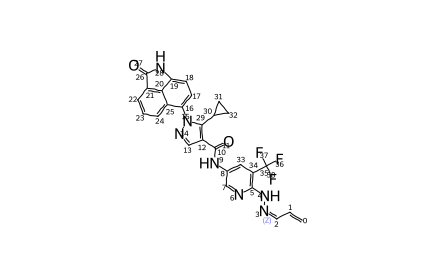 C=C/C=N\Nc1ncc(NC(=O)c2cnn(-c3ccc4c5c(cccc35)C(=O)N4)c2C2CC2)cc1C(F)(F)F